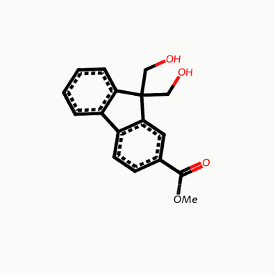 COC(=O)c1ccc2c(c1)C(CO)(CO)c1ccccc1-2